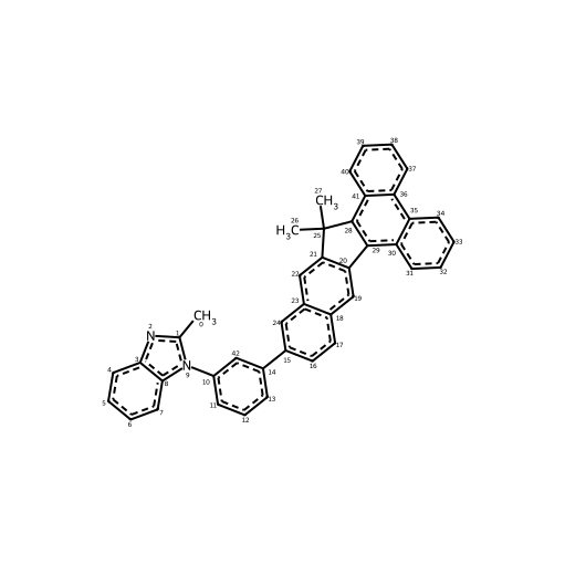 Cc1nc2ccccc2n1-c1cccc(-c2ccc3cc4c(cc3c2)C(C)(C)c2c-4c3ccccc3c3ccccc23)c1